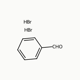 Br.Br.O=Cc1ccccc1